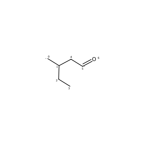 [CH2]C(CC)C[C]=O